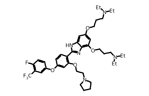 CCN(CC)CCCOc1cc(OCCCN(CC)CC)c2nc(-c3ccc(Oc4ccc(F)c(C(F)(F)F)c4)cc3OCCN3CCCC3)[nH]c2c1